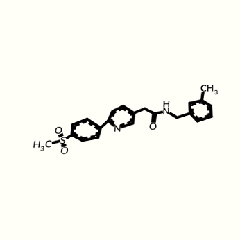 Cc1cccc(CNC(=O)Cc2ccc(-c3ccc(S(C)(=O)=O)cc3)nc2)c1